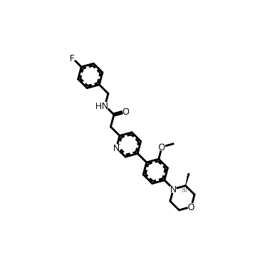 COc1cc(N2CCOC[C@@H]2C)ccc1-c1ccc(CC(=O)NCc2ccc(F)cc2)nc1